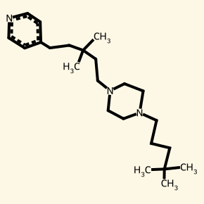 CC(C)(C)CCCN1CCN(CCC(C)(C)CCc2ccncc2)CC1